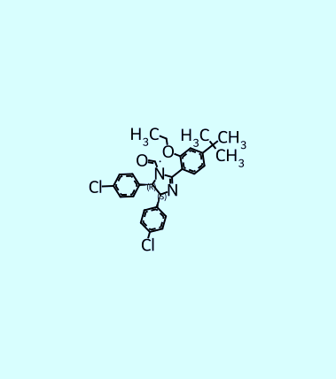 CCOc1cc(C(C)(C)C)ccc1C1=N[C@@H](c2ccc(Cl)cc2)[C@@H](c2ccc(Cl)cc2)N1[C]=O